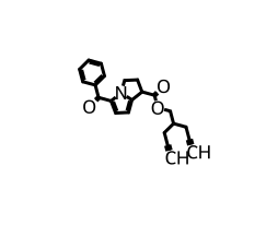 C#CCC(CC#C)COC(=O)C1CCn2c(C(=O)c3ccccc3)ccc21